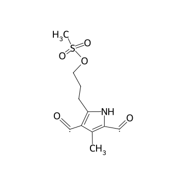 Cc1c([C]=O)[nH]c(CCCOS(C)(=O)=O)c1[C]=O